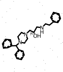 O[C@H](CNCCc1ccccc1)CN1CCN(C(c2ccccc2)c2ccccc2)CC1